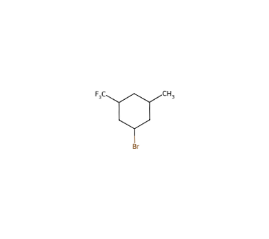 CC1CC(Br)CC(C(F)(F)F)C1